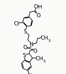 CCCN(CCSc1ccc(CC(=O)O)cc1Cl)S(=O)(=O)C1Sc2ccc(Cl)cc2C1C